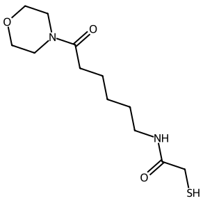 O=C(CS)NCCCCCC(=O)N1CCOCC1